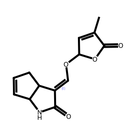 CC1=CC(O/C=C2/C(=O)NC3C=CCC23)OC1=O